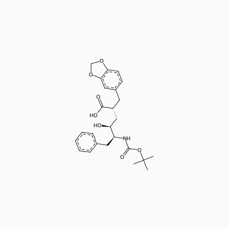 CC(C)(C)OC(=O)N[C@@H](Cc1ccccc1)[C@@H](O)C[C@@H](Cc1ccc2c(c1)OCO2)C(=O)O